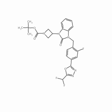 CC(C)(C)OC(=O)N1CC(n2c(=O)n(Cc3ccc(-c4nnc(C(F)F)o4)cc3F)c3ccccc32)C1